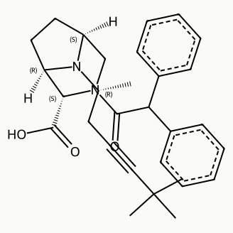 C[C@H](CC#CC(C)(C)C)N1[C@H]2CC[C@@H]1[C@@H](C(=O)O)N(C(=O)C(c1ccccc1)c1ccccc1)C2